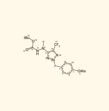 COc1ccc(Cn2nc(N(C)NC(=O)OC(C)(C)C)c(C(F)(F)F)n2)cc1